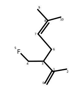 C=C(C)C(CF)CC=C(C)C